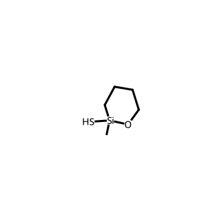 C[Si]1(S)CCCCO1